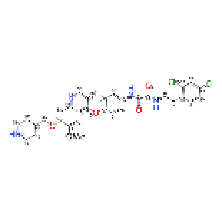 COc1cc2c(Oc3ccc(NC(=O)C(=O)NCCc4ccc(Cl)cc4Cl)cc3F)ccnc2cc1OCC1CCNCC1